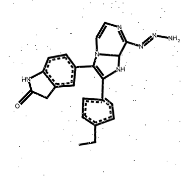 CCc1ccc(C2=C(c3ccc4c(c3)CC(=O)N4)N3C=CN=C(N=NN)C3N2)cc1